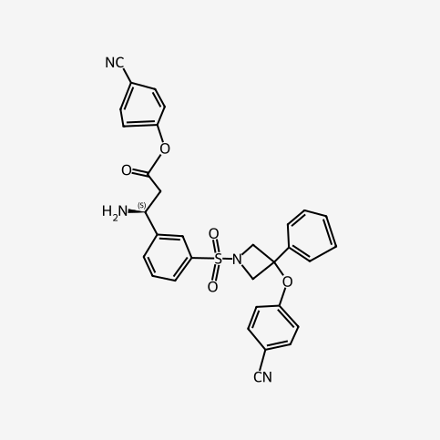 N#Cc1ccc(OC(=O)C[C@H](N)c2cccc(S(=O)(=O)N3CC(Oc4ccc(C#N)cc4)(c4ccccc4)C3)c2)cc1